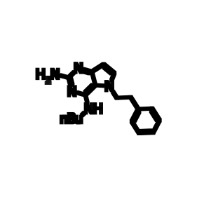 CCCCNc1nc(N)nc2ccn(CCc3ccccc3)c12